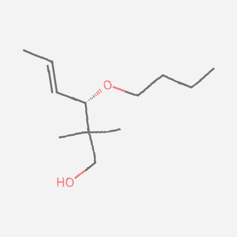 CC=C[C@H](OCCCC)C(C)(C)CO